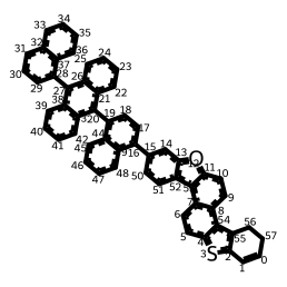 C1=Cc2sc3ccc4c(ccc5oc6cc(-c7ccc(-c8c9ccccc9c(-c9cccc%10ccccc9%10)c9ccccc89)c8ccccc78)ccc6c54)c3c2CC1